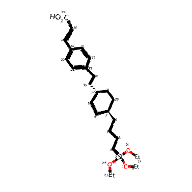 CCO[Si](CCCC[C@H]1CC[C@H](CCc2ccc(/C=C/C(=O)O)cc2)CC1)(OCC)OCC